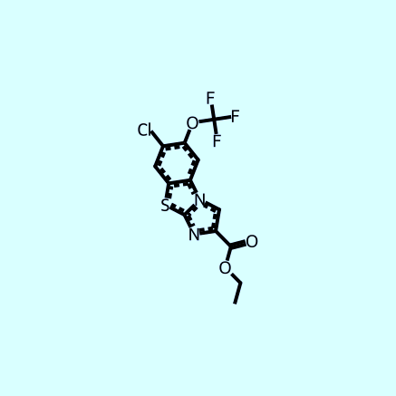 CCOC(=O)c1cn2c(n1)sc1cc(Cl)c(OC(F)(F)F)cc12